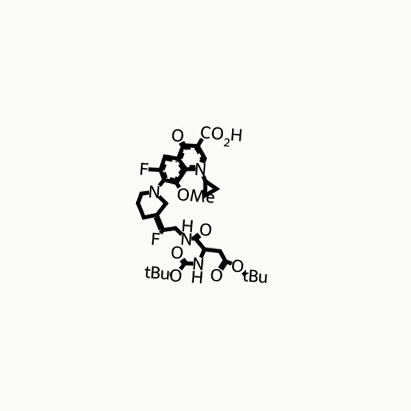 COc1c(N2CCC/C(=C(\F)CNC(=O)C(CC(=O)OC(C)(C)C)NC(=O)OC(C)(C)C)C2)c(F)cc2c(=O)c(C(=O)O)cn(C3CC3)c12